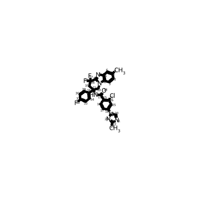 Cc1ccc2c(c1)nc1n2CC(NC(=O)c2ccc(-n3cnc(C)n3)cc2Cl)(c2ccc(F)cc2)CC1(F)F